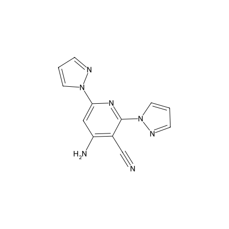 N#Cc1c(N)cc(-n2cccn2)nc1-n1cccn1